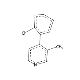 FC(F)(F)c1[c]nccc1-c1ccccc1Cl